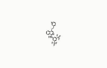 FC(F)(F)c1cc(Nc2ncc(CCc3cccnc3)c3ccccc23)cc(C(F)(F)F)c1